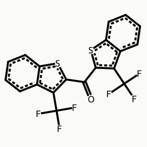 O=C(c1sc2ccccc2c1C(F)(F)F)c1sc2ccccc2c1C(F)(F)F